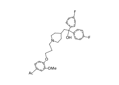 COc1cc(C(C)=O)ccc1OCCCN1CCC(CC(O)(c2ccc(F)cc2)c2ccc(F)cc2)CC1